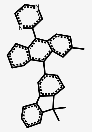 Cc1ccc2c(-c3cnccn3)c3ccccc3c(-c3ccc4c(c3)-c3ccccc3C4(C)C)c2c1